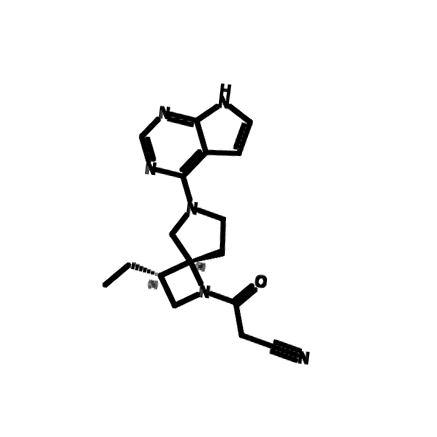 CC[C@H]1CN(C(=O)CC#N)[C@]12CCN(c1ncnc3[nH]ccc13)C2